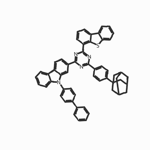 c1ccc(-c2ccc(-n3c4ccccc4c4ccc(-c5nc(-c6ccc(C78CC9CC(CC(C9)C7)C8)cc6)nc(-c6cccc7c6sc6ccccc67)n5)cc43)cc2)cc1